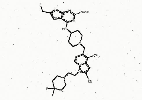 CNc1nc(NC2CCN(Cc3ccc4c(cc(C#N)n4CCN4CCC(F)(F)CC4)c3C)CC2)c2cc(CF)sc2n1